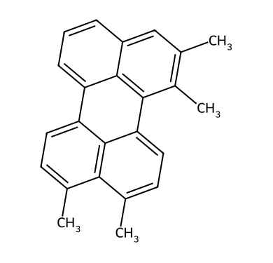 Cc1cc2cccc3c4ccc(C)c5c(C)ccc(c(c1C)c23)c54